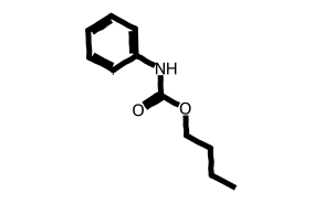 CCCCOC(=O)Nc1[c]cccc1